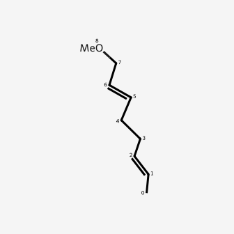 CC=CCCC=CCOC